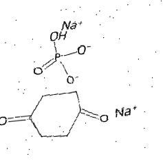 O=C1CCC(=O)CC1.O=P([O-])([O-])O.[Na+].[Na+]